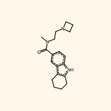 CN(CCN1CCC1)C(=O)c1ccc2[nH]c3c(c2c1)CCCC3